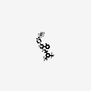 Cc1ccccc1-c1cc(N2CC[N+](C)(COP(=O)([O-])O)CC2)ncc1N(C)CC(C)(C)c1cc(C(F)(F)F)cc(C(F)(F)F)c1